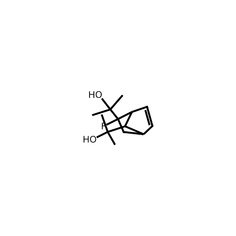 CC(C)(O)C1C2C=CC1C(F)(C(C)(C)O)C2